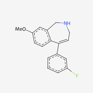 COc1ccc2c(c1)CNCC=C2c1cccc(F)c1